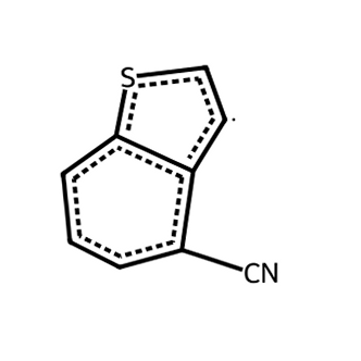 N#Cc1cccc2sc[c]c12